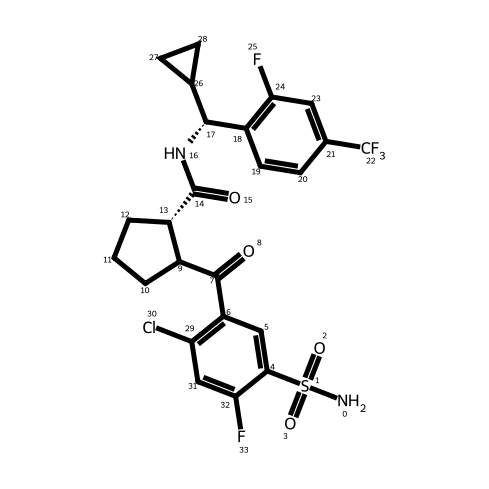 NS(=O)(=O)c1cc(C(=O)C2CCC[C@@H]2C(=O)N[C@@H](c2ccc(C(F)(F)F)cc2F)C2CC2)c(Cl)cc1F